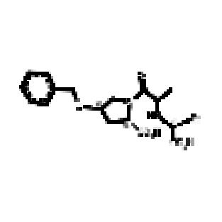 CC[C@H](NC(C)C(=O)N1C[C@H](OCc2ccccc2)C[C@H]1C(=O)O)C(=O)O